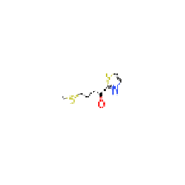 CSCCCC(=O)c1nccs1